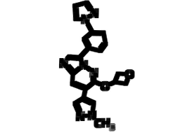 Cn1cc(-c2cc3ncc(-c4cccc(-n5cccn5)c4)n3nc2OC2COC2)cn1